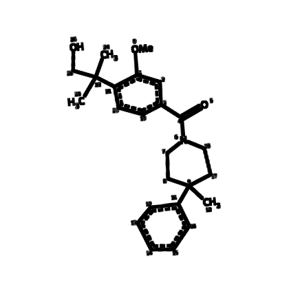 COc1cc(C(=O)N2CCC(C)(c3ccccc3)CC2)ccc1C(C)(C)CO